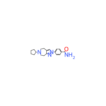 NC(=O)c1ccc(-n2cc3c(n2)CCN(C2CCCC2)CC3)cc1